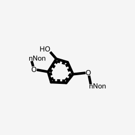 CCCCCCCCCOc1ccc(OCCCCCCCCC)c(O)c1